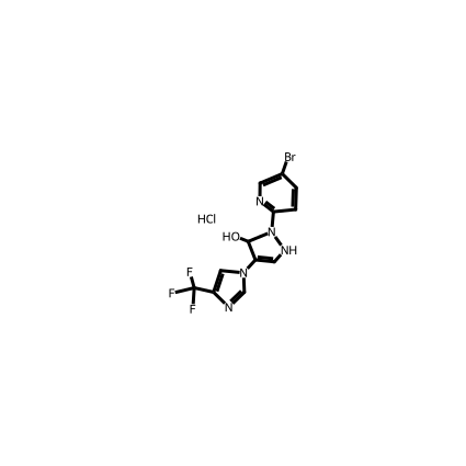 Cl.OC1C(n2cnc(C(F)(F)F)c2)=CNN1c1ccc(Br)cn1